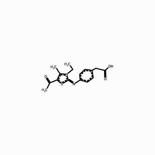 CCn1c(C)c(C(C)=O)s/c1=N/c1ccc(CC(=O)O)cc1